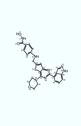 O=C(NO)c1ccc(NCc2cc3nc(-c4cccc5[nH]ncc45)nc(N4CCOCC4)c3s2)nc1